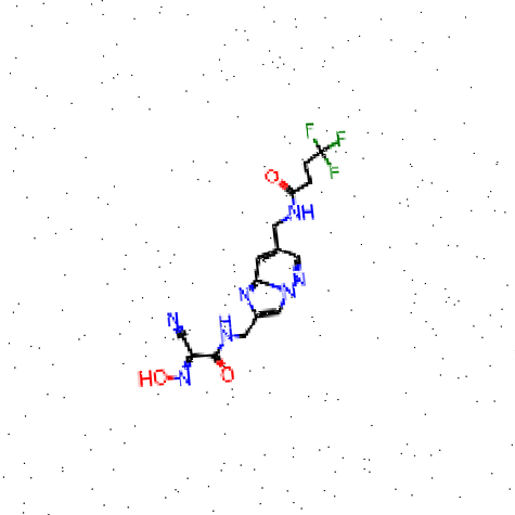 N#C/C(=N\O)C(=O)NCc1cn2ncc(CNC(=O)CCC(F)(F)F)cc2n1